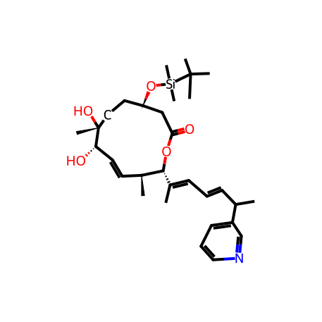 C/C(=C\C=C\C(C)c1cccnc1)[C@H]1OC(=O)C[C@H](O[Si](C)(C)C(C)(C)C)CC[C@@](C)(O)[C@@H](O)/C=C/[C@@H]1C